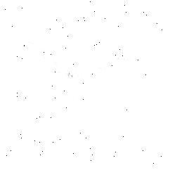 CCCCC[N+](C)(CCCC)CCCCC